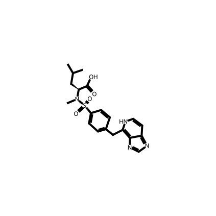 CC(C)C[C@@H](C(=O)O)N(C)S(=O)(=O)c1ccc(Cc2[nH]ccc3ncnc2-3)cc1